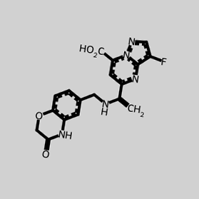 C=C(NCc1ccc2c(c1)NC(=O)CO2)c1cc(C(=O)O)n2ncc(F)c2n1